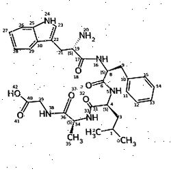 CC(C)C[C@H](NC(=O)[C@H](Cc1ccccc1)NC(=O)[C@@H](N)Cc1c[nH]c2ccccc12)C(=O)N[C@@H](C)C(=O)NCC(=O)O